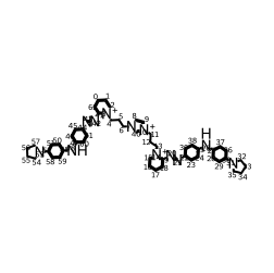 c1cc[n+](CCCn2cc[n+](CCC[n+]3ccccc3/N=N/c3ccc(Nc4ccc(N5CCCC5)cc4)cc3)c2)c(/N=N/c2ccc(Nc3ccc(N4CCCC4)cc3)cc2)c1